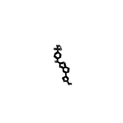 CCCn1cc(-c2ccc3cnc(Nc4ccc(S(N)(=O)=O)cc4)nc3c2)cn1